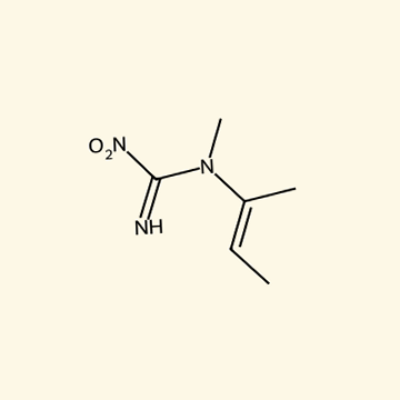 C/C=C(\C)N(C)C(=N)[N+](=O)[O-]